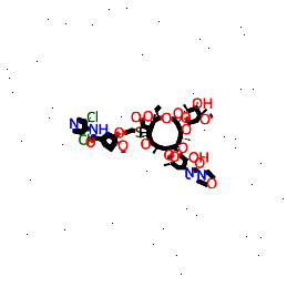 CC[C@H]1OC(=O)[C@H](C)[C@@H](O[C@H]2C[C@@](C)(OC)[C@@H](O)[C@H](C)O2)[C@H](C)[C@@H](O[C@@H]2O[C@H](C)C[C@H](N(C)C(=O)N3CCOCC3)[C@H]2O)[C@](C)(OC)C[C@@H](C)C(=O)[C@H](C)[C@H]2[C@H](SCCOc3cc(C(=O)Nc4c(Cl)cncc4Cl)ccc3OC)C(=O)O[C@@]21C